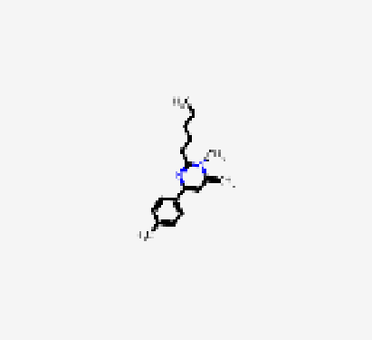 C=C1C=C(c2ccc(C)cc2)N=C(CCCCC)N1C